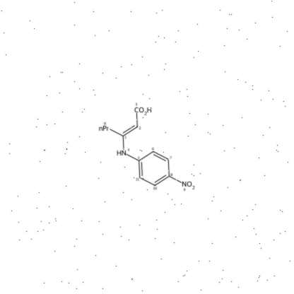 CCCC(=CC(=O)O)Nc1ccc([N+](=O)[O-])cc1